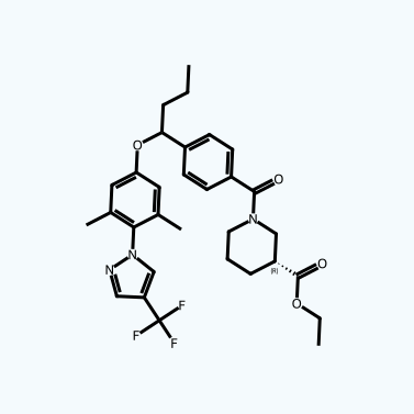 CCCC(Oc1cc(C)c(-n2cc(C(F)(F)F)cn2)c(C)c1)c1ccc(C(=O)N2CCC[C@@H](C(=O)OCC)C2)cc1